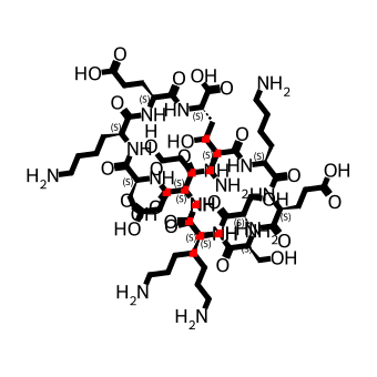 NCCCC[C@H](NC(=O)[C@H](CCC(=O)O)NC(=O)[C@H](CCCCN)NC(=O)[C@H](CO)NC(=O)[C@H](CCC(=O)O)NC(=O)[C@H](CCCCN)NC(=O)[C@H](CO)NC(=O)[C@H](CCC(=O)O)NC(=O)[C@H](CCCCN)NC(=O)[C@H](CO)NC(=O)[C@H](CCC(=O)O)NC(=O)[C@H](CCCCN)NC(=O)[C@@H](N)CO)C(=O)O